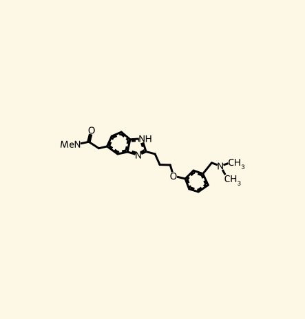 CNC(=O)Cc1ccc2[nH]c(CCCOc3cccc(CN(C)C)c3)nc2c1